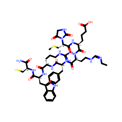 CC/N=C\NCC[C@H](NC(=O)[C@H](CCCC(=O)O)NC(=O)[C@H](CSC)N1C(=O)CNC1=O)C(=O)N[C@H](Cc1ccccc1)C(=O)N[C@@H](CCCNC(=N)N)C(=O)N[C@@H](Cc1c[nH]c2ccccc12)C(=O)N[C@@H](CS)C(N)=O